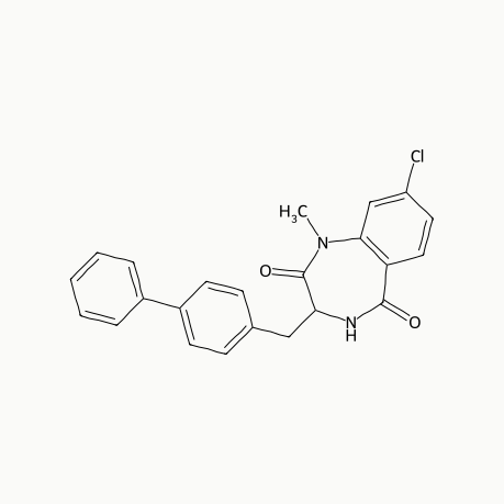 CN1C(=O)C(Cc2ccc(-c3ccccc3)cc2)NC(=O)c2ccc(Cl)cc21